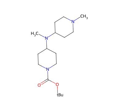 CN1CCC(N(C)C2CCN(C(=O)OC(C)(C)C)CC2)CC1